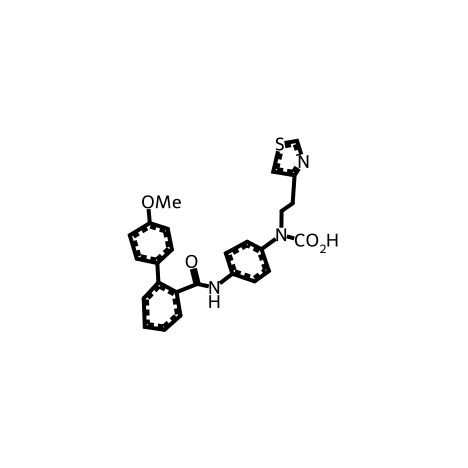 COc1ccc(-c2ccccc2C(=O)Nc2ccc(N(CCc3cscn3)C(=O)O)cc2)cc1